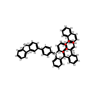 c1ccc(N(c2ccc(-c3ccc4sc5ccccc5c4c3)cc2)c2ccc(-c3cccc4ccccc34)cc2)c(-c2cc3ccccc3c3ccccc23)c1